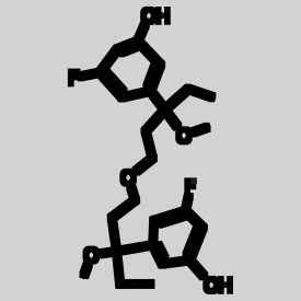 CCC(CCOCCC(CC)(OC)c1cc(O)cc(F)c1)(OC)c1cc(O)cc(F)c1